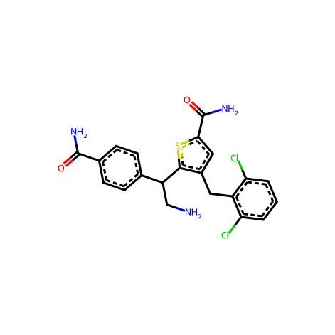 NCC(c1ccc(C(N)=O)cc1)c1sc(C(N)=O)cc1Cc1c(Cl)cccc1Cl